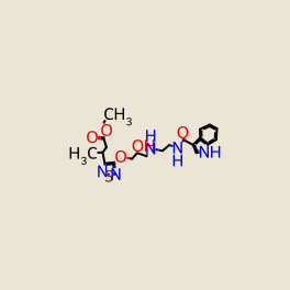 CCOC(=O)CC(C)c1nsnc1OCC(O)CNCCNC(=O)c1c[nH]c2ccccc12